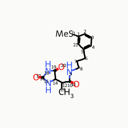 CSc1cccc(CCCNC(=O)C(C)C2NC(=O)NC2=O)c1